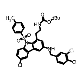 Cc1ccc(S(=O)(=O)n2c3ccc(Cl)cc3c3cc(NCc4ccc(Cl)c(Cl)c4)cc(CCNC(=O)OC(C)(C)C)c32)cc1